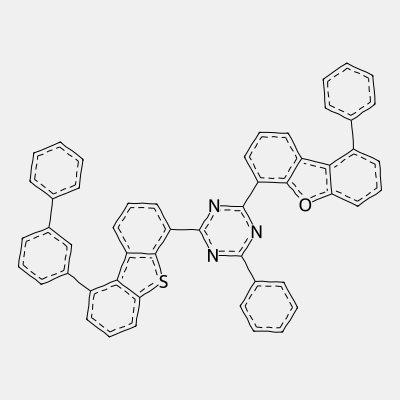 c1ccc(-c2cccc(-c3cccc4sc5c(-c6nc(-c7ccccc7)nc(-c7cccc8c7oc7cccc(-c9ccccc9)c78)n6)cccc5c34)c2)cc1